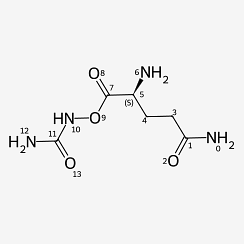 NC(=O)CC[C@H](N)C(=O)ONC(N)=O